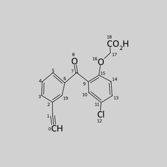 C#Cc1cccc(C(=O)c2cc(Cl)ccc2OCC(=O)O)c1